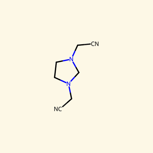 N#CCN1CCN(CC#N)C1